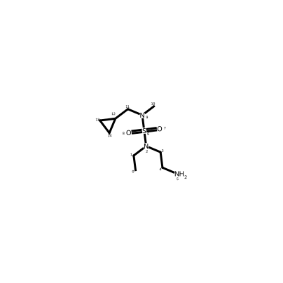 CCN(CCN)S(=O)(=O)N(C)CC1CC1